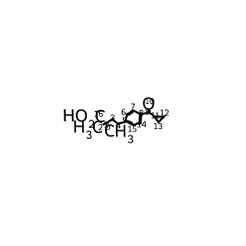 CC(C)(CCc1ccc(C(=O)C2CC2)cc1)C(=O)O